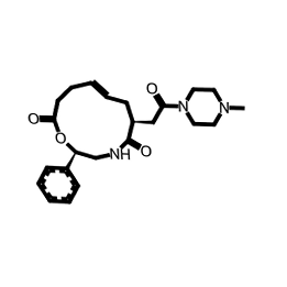 CN1CCN(C(=O)C[C@@H]2C/C=C/CCC(=O)O[C@H](c3ccccc3)CNC2=O)CC1